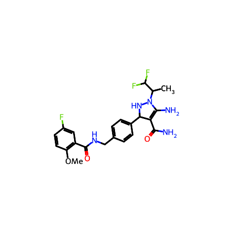 COc1ccc(F)cc1C(=O)NCc1ccc(C2NN(C(C)C(F)F)C(N)=C2C(N)=O)cc1